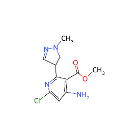 COC(=O)c1c(N)cc(Cl)nc1C1C=NN(C)C1